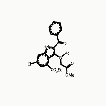 CCOC(=O)c1cc(Cl)cc2[nH]c(C(=O)c3ccccc3)c(N(CC(=O)OC)C(C)=O)c12